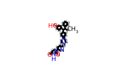 CCC(=C(c1ccc(O)cc1)c1ccc(N2CCN(Cc3ccc(N4CCC(=O)NC4=O)cn3)CC2)cc1)c1ccccc1